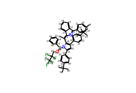 C/C(=C1/N=C(c2ccc(C)cc2)c2ccccc21)c1c(-c2ccc(C(C)(C)C)cc2)cc(-c2ccc(C(C)(C)C)cc2)n1B(OCC(F)(F)C(F)(F)F)c1ccccc1